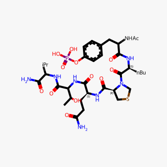 CCCC[C@H](NC(=O)C(Cc1ccc(OP(=O)(O)O)cc1)NC(C)=O)C(=O)N1CSC[C@H]1C(=O)N[C@@H](CCC(N)=O)C(=O)NC(C(=O)NC(C(N)=O)C(C)C)C(C)O